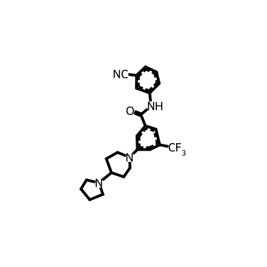 N#Cc1cccc(NC(=O)c2cc(N3CCC(N4CCCC4)CC3)cc(C(F)(F)F)c2)c1